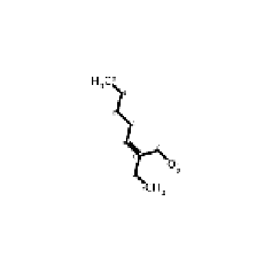 CCCCC=C(CC)C[O]